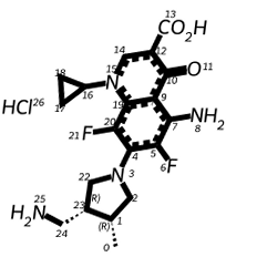 C[C@H]1CN(c2c(F)c(N)c3c(=O)c(C(=O)O)cn(C4CC4)c3c2F)C[C@H]1CN.Cl